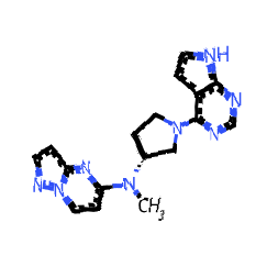 CN(c1ccn2nccc2n1)[C@@H]1CCN(c2ncnc3[nH]ccc23)C1